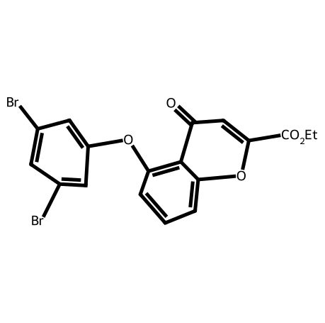 CCOC(=O)c1cc(=O)c2c(Oc3cc(Br)cc(Br)c3)cccc2o1